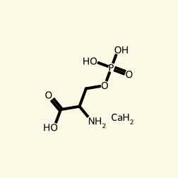 NC(COP(=O)(O)O)C(=O)O.[CaH2]